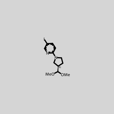 COC(OC)[C@@H]1CCN(c2ccc(I)cn2)C1